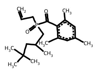 C=CCP(=O)(CC(C)CC(C)(C)C)C(=O)c1c(C)cc(C)cc1C